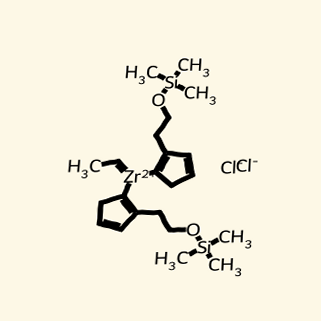 C[CH]=[Zr+2]([C]1=C(CCO[Si](C)(C)C)C=CC1)[C]1=C(CCO[Si](C)(C)C)C=CC1.[Cl-].[Cl-]